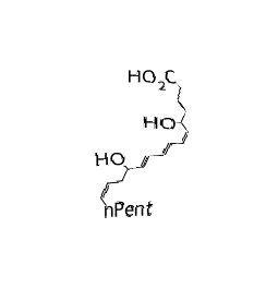 CCCCC/C=C\CC(O)/C=C/C=C/C=C\C(O)CCCC(=O)O